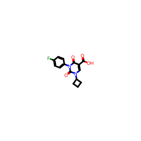 O=C(O)c1cn(C2CCC2)c(=O)n(-c2ccc(F)cc2)c1=O